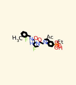 CCOP(=O)(O)c1ccc2c(c1)c(C(C)=O)cn2CC(=O)N1C[C@H](F)C[C@H]1C(=O)NCc1cccc(C)c1F